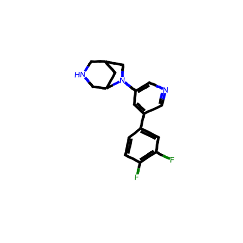 Fc1ccc(-c2cncc(N3CC4CNCC3C4)c2)cc1F